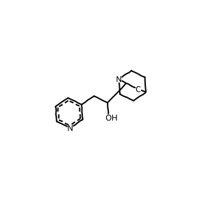 OC(Cc1cccnc1)C1CC2CCN1CC2